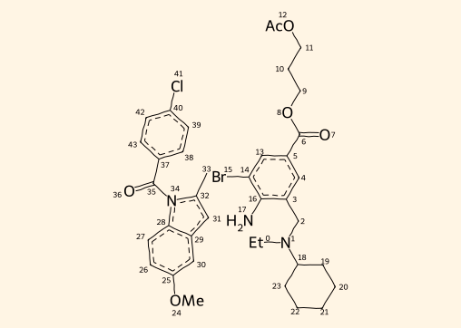 CCN(Cc1cc(C(=O)OCCCOC(C)=O)cc(Br)c1N)C1CCCCC1.COc1ccc2c(c1)cc(C)n2C(=O)c1ccc(Cl)cc1